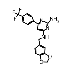 Nc1nc(NCc2ccc3c(c2)OCO3)cc(-c2ccc(C(F)(F)F)cc2)n1